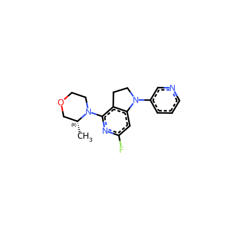 C[C@@H]1COCCN1c1nc(F)cc2c1CCN2c1cccnc1